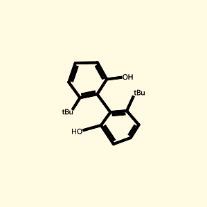 CC(C)(C)c1cccc(O)c1-c1c(O)cccc1C(C)(C)C